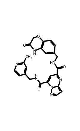 Cc1cc(CNC(=O)c2cc(C(=O)NCc3ccc4c(c3)NC(=O)CO4)nc3ccnn23)ccn1